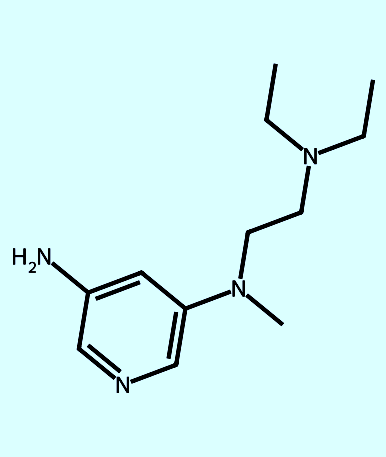 CCN(CC)CCN(C)c1cncc(N)c1